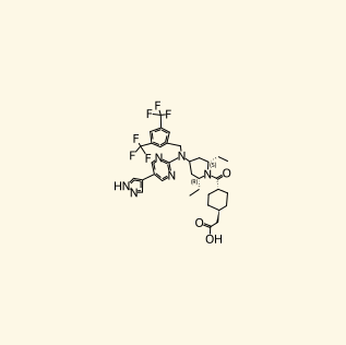 CC[C@@H]1CC(N(Cc2cc(C(F)(F)F)cc(C(F)(F)F)c2)c2ncc(-c3cn[nH]c3)cn2)C[C@H](CC)N1C(=O)[C@H]1CC[C@H](CC(=O)O)CC1